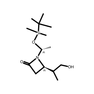 CC(CO)[C@H]1CC(=O)N1[C@@H](C)O[Si](C)(C)C(C)(C)C